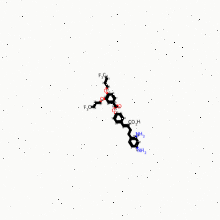 Nc1ccc(CCC(=Cc2ccc(OC(=O)c3ccc(OCCCC(F)(F)F)c(OCCCC(F)(F)F)c3)cc2)C(=O)O)c(N)c1